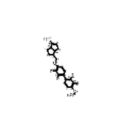 CCCOc1ccc(-c2ccc(OCC3CCC4C(CCC)=CCC34)c(F)c2F)c(F)c1F